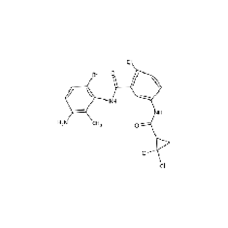 Cc1c(N)ccc(Br)c1NC(=O)c1cc(NC(=O)C2CC2(Cl)Cl)ccc1Cl